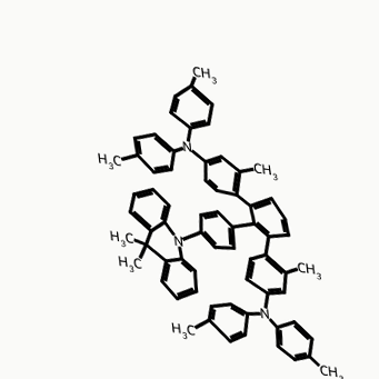 Cc1ccc(N(c2ccc(C)cc2)c2ccc(-c3cccc(-c4ccc(N(c5ccc(C)cc5)c5ccc(C)cc5)cc4C)c3-c3ccc(N4c5ccccc5C(C)(C)c5ccccc54)cc3)c(C)c2)cc1